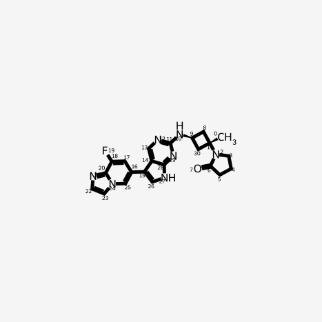 C[C@]1(N2CCCC2=O)C[C@H](Nc2ncc3c(-c4cc(F)c5nccn5c4)c[nH]c3n2)C1